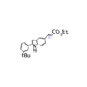 CCOC(=O)/C=C/c1ccc2[nH]c(-c3cccc(C(C)(C)C)c3)cc2c1